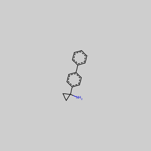 NC1(c2ccc(-c3c[c]ccc3)cc2)CC1